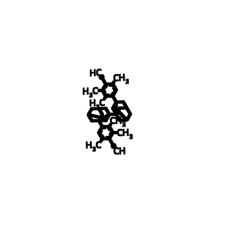 C#Cc1c(C)cc(C23CC4CC(C2)CC(C25CC6CC(CC(c7cc(C)c(C#C)c(C)c7C)(C6)C2)C5)(C4)C3)c(C)c1C